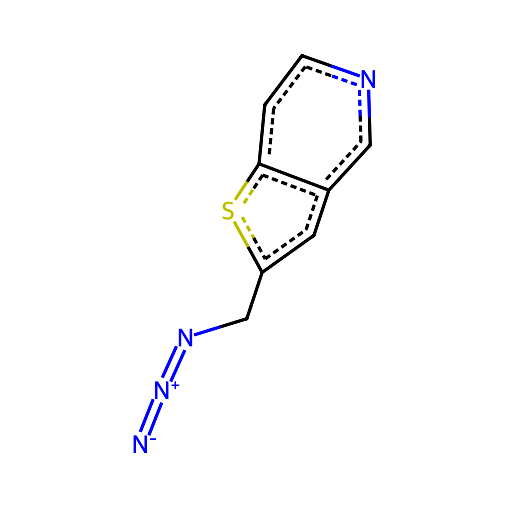 [N-]=[N+]=NCc1cc2cnccc2s1